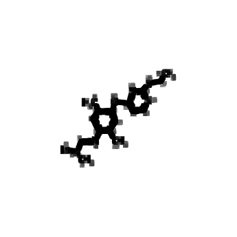 CCN(C)/C=N/c1cc(C)c(Oc2ccnc(SCC(F)(F)F)n2)cc1C